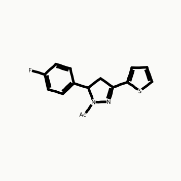 CC(=O)N1N=C(c2cccs2)CC1c1ccc(F)cc1